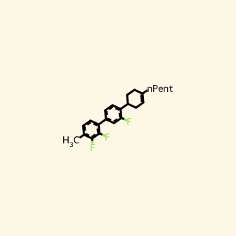 CCCCCC1=CCC(c2ccc(-c3ccc(C)c(F)c3F)cc2F)CC1